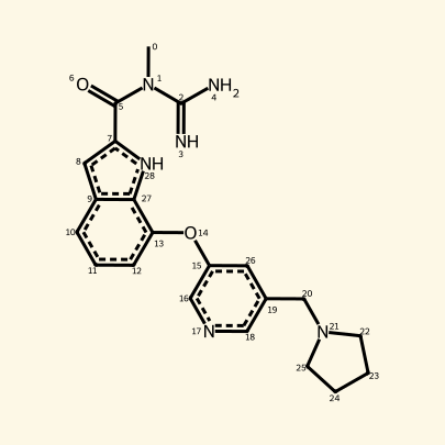 CN(C(=N)N)C(=O)c1cc2cccc(Oc3cncc(CN4CCCC4)c3)c2[nH]1